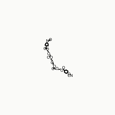 N#COc1ccc(C(=O)OCCOCC(=O)OCCOCCOC(=O)COCCOC(=O)c2ccc(N=C=O)cc2)cc1